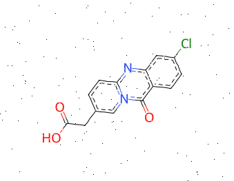 O=C(O)Cc1ccc2nc3cc(Cl)ccc3c(=O)n2c1